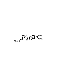 CCCOc1cccc(NC(=O)c2ccc3cc(C(=N)N)ccc3c2)c1